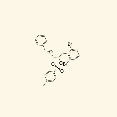 Cc1ccc(S(=O)(=O)O[C@H](COCc2ccccc2)Cc2c(Br)cccc2Br)cc1